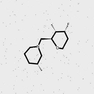 C[C@@H]1CCCN(C[C@@H]2OCC[C@@H](F)[C@H]2C)C1